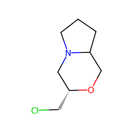 ClC[C@@H]1CN2CCCC2CO1